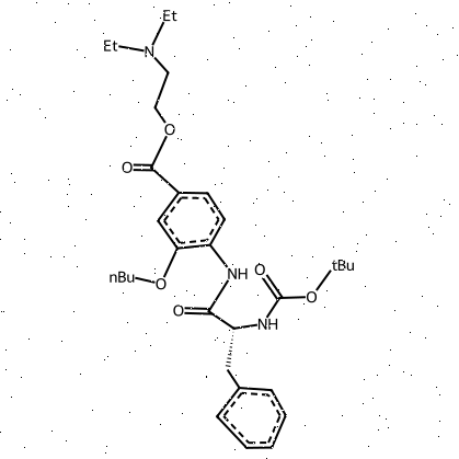 CCCCOc1cc(C(=O)OCCN(CC)CC)ccc1NC(=O)[C@@H](Cc1ccccc1)NC(=O)OC(C)(C)C